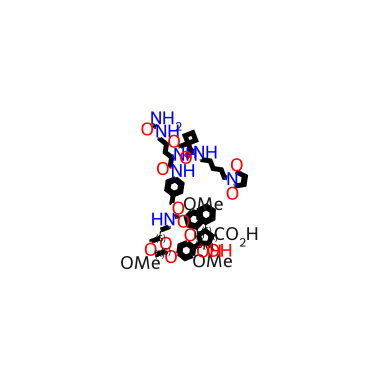 COc1ccc([C@@]23Oc4cc(O[C@@H]5O[C@@H](CCNC(=O)OCc6ccc(NC(=O)C(CCCNC(N)=O)NC(=O)C7(C(=O)NCCCCCN8C(=O)C=CC8=O)CCC7)cc6)CO[C@H]5OC)cc(OC)c4[C@]2(O)[C@H](O)[C@H](C(=O)O)[C@H]3c2ccccc2)cc1